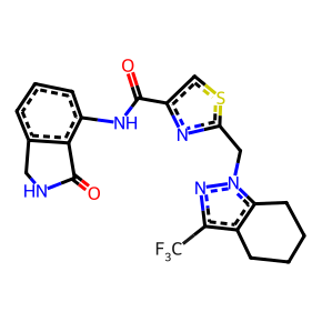 O=C(Nc1cccc2c1C(=O)NC2)c1csc(Cn2nc(C(F)(F)F)c3c2CCCC3)n1